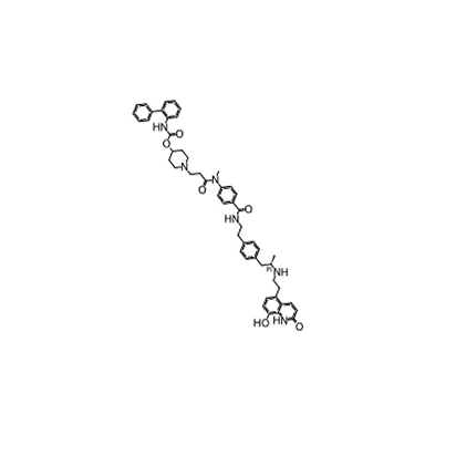 C[C@H](Cc1ccc(CCNC(=O)c2ccc(N(C)C(=O)CCN3CCC(OC(=O)Nc4ccccc4-c4ccccc4)CC3)cc2)cc1)NCCc1ccc(O)c2[nH]c(=O)ccc12